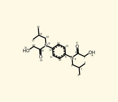 CC(C)CN(C(=O)CO)c1ccc(N(CC(C)C)C(=O)CO)cc1